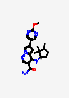 COc1ncc(-c2cc3c(N[C@@H]4CCC(C)C4(C)C)c(C(N)=O)cnn3c2)cn1